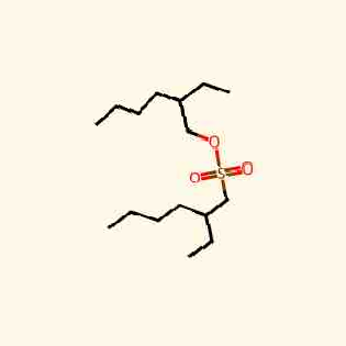 CCCCC(CC)COS(=O)(=O)CC(CC)CCCC